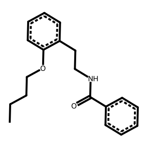 CCCCOc1ccccc1CCNC(=O)c1ccccc1